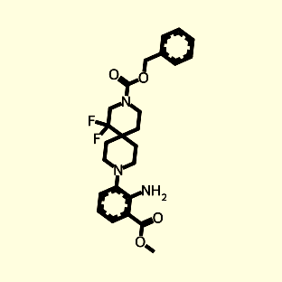 COC(=O)c1cccc(N2CCC3(CCN(C(=O)OCc4ccccc4)CC3(F)F)CC2)c1N